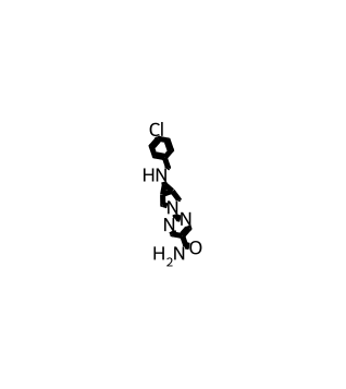 NC(=O)c1cnc(N2CC3C(C2)C3NCc2ccc(Cl)cc2)nc1